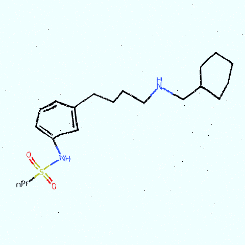 CCCS(=O)(=O)Nc1cccc(CCCCNCC2CCCCC2)c1